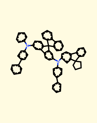 c1ccc(-c2ccc(N(c3ccccc3)c3ccc4c(c3)-c3ccc(N(c5ccc(-c6ccccc6)cc5)c5ccc6c(c5)C5(CCCC5)c5ccccc5-6)cc3C43c4ccccc4-c4ccccc43)cc2)cc1